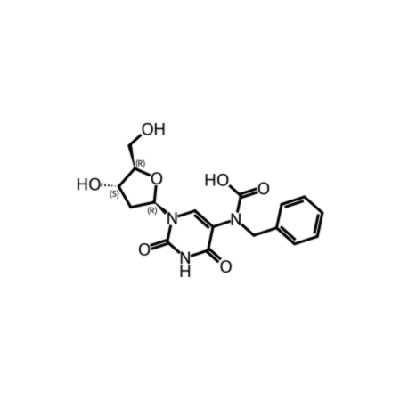 O=C(O)N(Cc1ccccc1)c1cn([C@H]2C[C@H](O)[C@@H](CO)O2)c(=O)[nH]c1=O